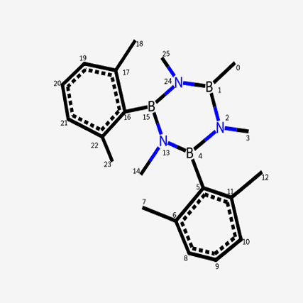 CB1N(C)B(c2c(C)cccc2C)N(C)B(c2c(C)cccc2C)N1C